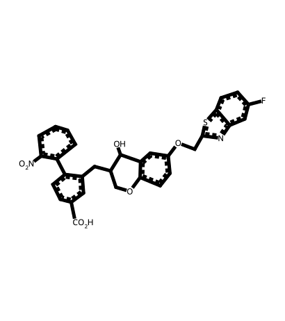 O=C(O)c1ccc(-c2ccccc2[N+](=O)[O-])c(CC2COc3ccc(OCc4nc5cc(F)ccc5s4)cc3C2O)c1